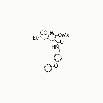 CCC(Cc1ccc(OC)c(C(=O)NCc2ccc(Oc3ccccc3)cc2)c1)C(=O)O